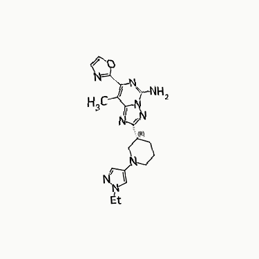 CCn1cc(N2CCC[C@@H](c3nc4c(C)c(-c5ncco5)nc(N)n4n3)C2)cn1